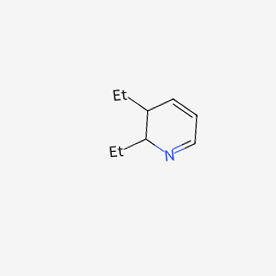 CCC1C=CC=NC1CC